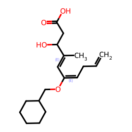 C=CC/C=C(\C=C(/C)C(O)CC(=O)O)OCC1CCCCC1